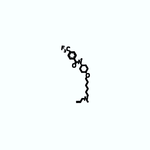 C=CCN(C)CCCCCCO[C@H]1CC[C@H](N(C)C(=O)c2ccc(C(F)(F)F)cc2)CC1